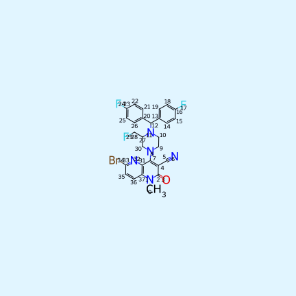 Cn1c(=O)c(C#N)c(N2CCN(C(c3ccc(F)cc3)c3ccc(F)cc3)C(CF)C2)c2nc(Br)ccc21